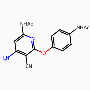 CC(=O)Nc1ccc(Oc2nc(NC(C)=O)cc(N)c2C#N)cc1